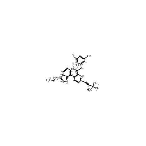 CC(C)(O)C#Cc1ccc(-c2cccn3c(NCC(F)(F)F)nnc23)c(C(Cc2cc(F)cc(F)c2)NC(=O)O)n1